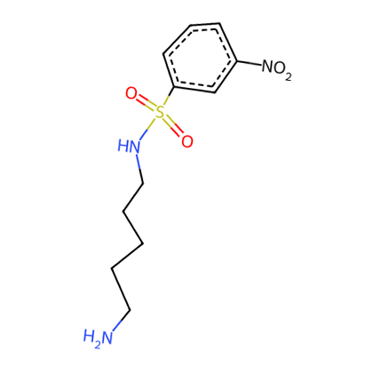 NCCCCCNS(=O)(=O)c1cccc([N+](=O)[O-])c1